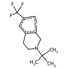 CC(C)(C)N1CCc2cc(C(F)(F)F)ccc2C1